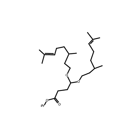 CC(C)=CCCC(C)CCOC(CCC(=O)OC(C)C)OCCC(C)CCC=C(C)C